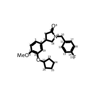 COc1ccc(C2CC(=O)N(Cc3ccc(F)cc3)C2)cc1OC1CCCC1